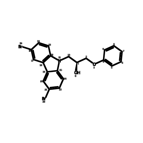 O[C@H](COc1ccccc1)Cn1c2ccc(Br)cc2c2cc(Br)ccc21